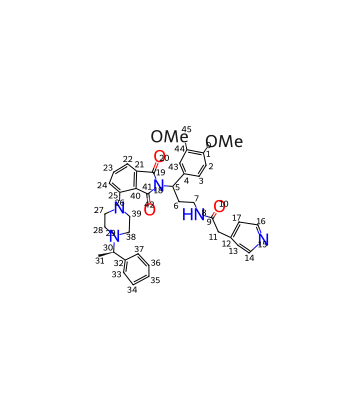 COc1ccc(C(CCNC(=O)Cc2ccncc2)N2C(=O)c3cccc(N4CCN([C@H](C)c5ccccc5)CC4)c3C2=O)cc1OC